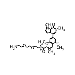 COc1cc(-c2cn(C)c(=O)c3c2ccn3C)cc(OC)c1CN(C)CC(=O)NCCOCCOCCN